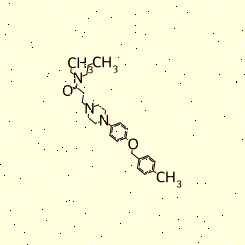 CCCN(CC)C(=O)CCN1CCN(c2ccc(OCc3ccc(C)cc3)cc2)CC1